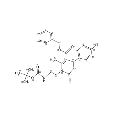 CC1=C(C(=O)OCc2ccccc2)C(c2ccc(Cl)cc2)CC(=O)N1CCNC(=O)OC(C)(C)C